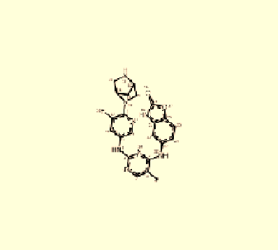 Cc1cnc(Nc2cnc(N3CC4CC3CN4)c(F)c2)nc1Nc1ccc2oc(=O)[nH]c2c1